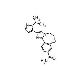 CC(C)n1nccc1-c1cn2c(n1)-c1ccc(C(N)=O)cc1OCC2